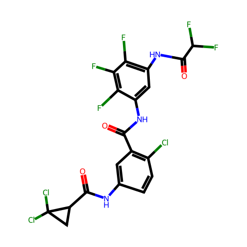 O=C(Nc1cc(NC(=O)C(F)F)c(F)c(F)c1F)c1cc(NC(=O)C2CC2(Cl)Cl)ccc1Cl